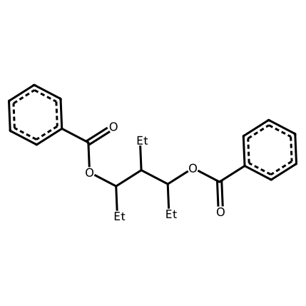 CCC(OC(=O)c1ccccc1)C(CC)C(CC)OC(=O)c1ccccc1